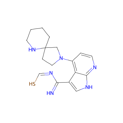 N=C(/N=C\S)c1c[nH]c2nccc(N3CCC4(CCCCN4)C3)c12